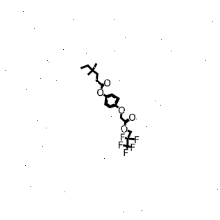 CCC(C)(C)CCC(=O)Oc1ccc(OCC(=O)OCC(F)(F)C(F)(F)F)cc1